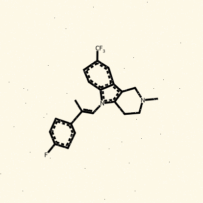 CC(=Cn1c2c(c3cc(C(F)(F)F)ccc31)CN(C)CC2)c1ccc(F)cc1